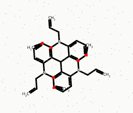 C=CCN(CC=C)c1ccccc1C(c1ccccc1N(CC=C)CC=C)c1ccccc1N(CC=C)CC=C